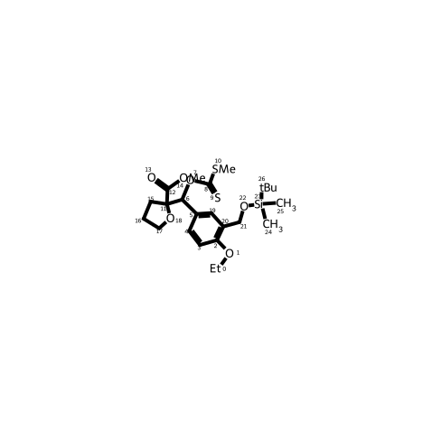 CCOc1ccc(C(OC(=S)SC)C2(C(=O)OC)CCCO2)cc1CO[Si](C)(C)C(C)(C)C